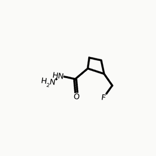 NNC(=O)C1CCC1CF